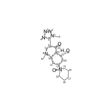 Cn1nnnc1-c1cn(C)c2cc([N+]3([O-])CCCCC3)ccc2c1=O.O